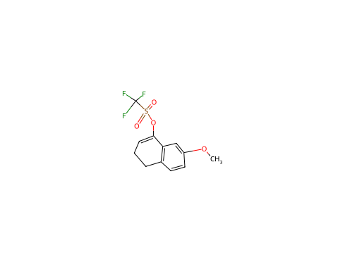 COc1ccc2c(c1)C(OS(=O)(=O)C(F)(F)F)=CCC2